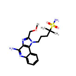 CCOCc1nc2c(N)nc3ccccc3c2n1CCCC(C)(C)S(N)(=O)=O